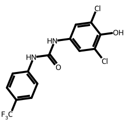 O=C(Nc1ccc(C(F)(F)F)cc1)Nc1cc(Cl)c(O)c(Cl)c1